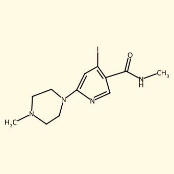 CNC(=O)c1cnc(N2CCN(C)CC2)cc1I